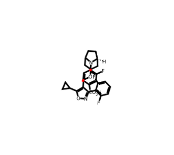 O=C(O)c1ccc(N2C3CC[C@H]2CC(OCc2c(-c4c(F)cccc4F)noc2C2CC2)C3)c(F)c1